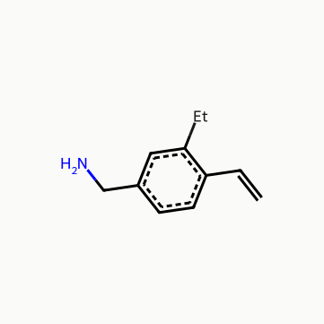 C=Cc1ccc(CN)cc1CC